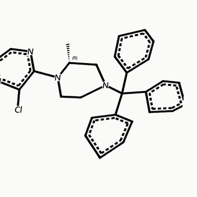 C[C@@H]1CN(C(c2ccccc2)(c2ccccc2)c2ccccc2)CCN1c1nccnc1Cl